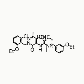 CCOc1cccc([C@H](CC(=O)O)NC(=O)Nc2c(O)c(C)nn(Cc3c(Cl)cccc3OCC)c2=O)c1